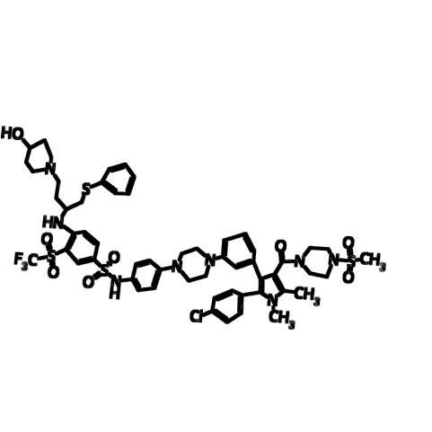 Cc1c(C(=O)N2CCN(S(C)(=O)=O)CC2)c(-c2cccc(N3CCN(c4ccc(NS(=O)(=O)c5ccc(NC(CCN6CCC(O)CC6)CSc6ccccc6)c(S(=O)(=O)C(F)(F)F)c5)cc4)CC3)c2)c(-c2ccc(Cl)cc2)n1C